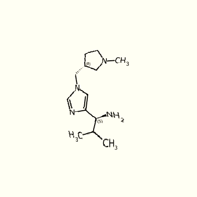 CC(C)[C@H](N)c1cn(C[C@@H]2CCN(C)C2)cn1